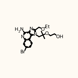 CCOCc1nc2c(N)nc3cc(Br)ccc3c2n1CC(C)(C)OCCO